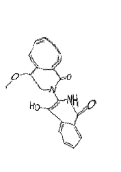 COC1CN(c2[nH]c(=O)c3ccccc3c2O)C(=O)c2ccccc21